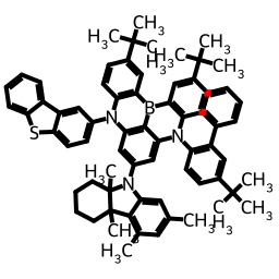 Cc1cc(C)c2c(c1)N(c1cc3c4c(c1)N(c1ccc(C(C)(C)C)cc1-c1ccccc1)c1ccc(C(C)(C)C)cc1B4c1cc(C(C)(C)C)ccc1N3c1ccc3sc4ccccc4c3c1)C1(C)CCCCC21C